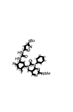 CNc1ncc2c(n1)N(c1ccccc1)C(=O)N(c1cc(NC(=O)Nc3cc(C(C)(C)C)no3)c(F)cc1F)C2